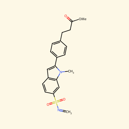 C=NS(=O)(=O)c1ccc2cc(-c3ccc(CCC(=O)OC)cc3)n(C)c2c1